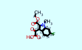 CCOC(=O)c1c(C(=O)C(=O)O)c2ccc(F)cc2n1C